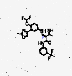 CC(=N)/C(=C\Nc1ccc(OC(F)F)c(-c2coc(C)n2)c1)C(=O)Nc1cccc(C(C)(F)F)c1